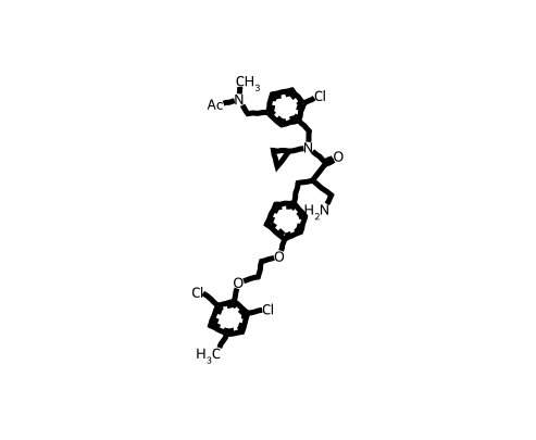 CC(=O)N(C)Cc1ccc(Cl)c(CN(C(=O)C(CN)Cc2ccc(OCCOc3c(Cl)cc(C)cc3Cl)cc2)C2CC2)c1